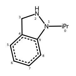 CC(C)N1NCc2ccccc21